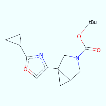 CC(C)(C)OC(=O)N1CC2CC2(c2coc(C3CC3)n2)C1